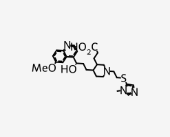 COc1ccc2nccc([C@@H](O)CCC3CCN(CCSc4cncn4C)CC3CCC(=O)O)c2c1